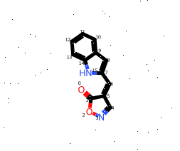 O=C1ON=CC1=Cc1cc2ccccc2[nH]1